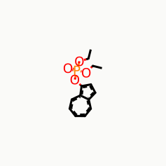 CCOP(=O)(OCC)Oc1ccc2cccccc1-2